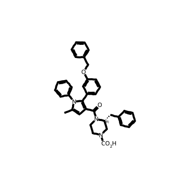 Cc1cc(C(=O)N2CCN(C(=O)O)C[C@H]2Cc2ccccc2)c(-c2cccc(OCc3ccccc3)c2)n1-c1ccccc1